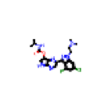 CC(C)NC(=O)Oc1c[nH]c2ncc(-c3nn(CCN(C)C)c4cc(Cl)cc(F)c34)nc12